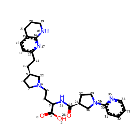 O=C(O)C(CCN1CC[C@@H](CCc2ccc3c(n2)NCCC3)C1)NC(=O)[C@H]1CCN(c2ccccn2)C1